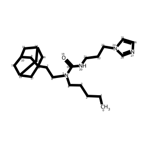 CCCCCN(CCC12CC3CC(CC(C3)C1)C2)C(=O)NCCCn1ccnc1